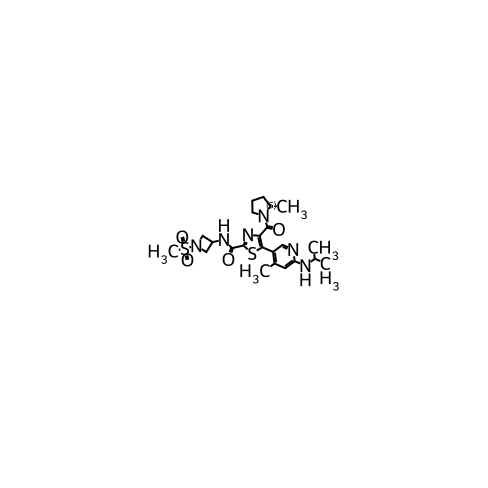 Cc1cc(NC(C)C)ncc1-c1sc(C(=O)NC2CN(S(C)(=O)=O)C2)nc1C(=O)N1CCC[C@@H]1C